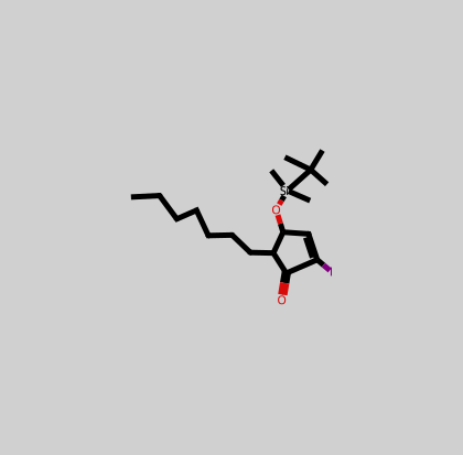 CCCCCCCC1C(=O)C(I)=CC1O[Si](C)(C)C(C)(C)C